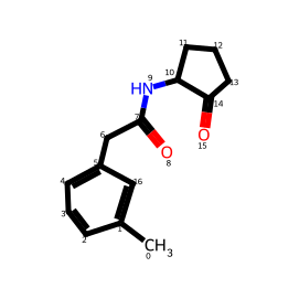 Cc1cccc(CC(=O)NC2CCCC2=O)c1